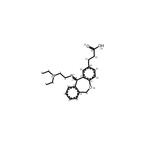 CCN(CC)CC/N=C1\c2ccccc2COc2ccc(CCC(=O)O)cc21